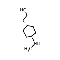 CN[C@H]1CC[C@H](CCO)CC1